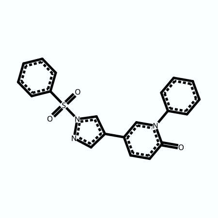 O=c1ccc(-c2cnn(S(=O)(=O)c3ccccc3)c2)cn1-c1ccccc1